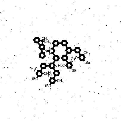 CC1=CC(C(C)(C)C)CC(C)=C1c1cccc(-c2cc(-c3cccc(-c4cc(-c5cccc(-c6cccc(-c7cc(-c8cccc(-c9c(C)cc(C(C)(C)C)cc9C)c8)cc(-c8cccc(-c9c(C)cc(C(C)(C)C)cc9C)c8)c7)c6)c5)nc(-n5c6ccccc6c6cc7c(cc65)C(C)(C)c5ccccc5-7)n4)c3)cc(-c3cccc(-c4c(C)cc(C(C)(C)C)cc4C)c3)c2)c1